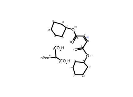 CCCCCC(C(=O)O)C(=O)O.O=C(/C=C\C(=O)OC1CCCCC1)OC1CCCCC1